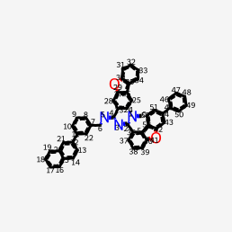 C=N/C(=N\C(=N/Cc1cccc(-c2ccc3ccccc3c2)c1)c1ccc2c(c1)oc1ccccc12)c1cccc2oc3cc(-c4ccccc4)ccc3c12